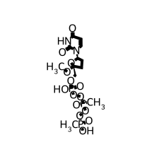 CO[C@@]1(COP(=O)(O)OOP(C)(=O)OOP(C)(=O)O)CC[C@H](n2ccc(=O)[nH]c2=O)O1